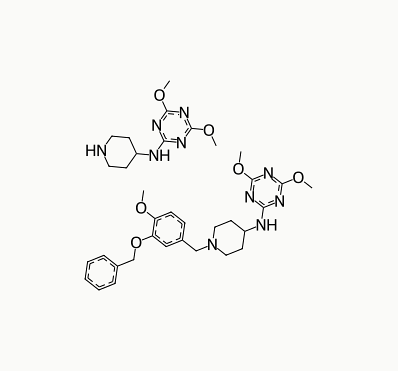 COc1nc(NC2CCN(Cc3ccc(OC)c(OCc4ccccc4)c3)CC2)nc(OC)n1.COc1nc(NC2CCNCC2)nc(OC)n1